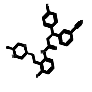 C[C@H]1CO[C@H](CCc2c(F)cccc2NC(=O)C[C@@H](c2ccc(F)cc2)c2cccc(C#N)c2)CN1